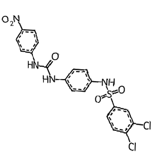 O=C(Nc1ccc(NS(=O)(=O)c2ccc(Cl)c(Cl)c2)cc1)Nc1ccc([N+](=O)[O-])cc1